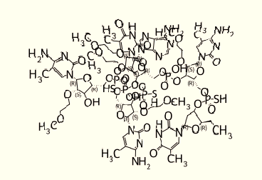 CC[C@H]1O[C@@H](n2cc(C)c(=O)[nH]c2=O)CC1OP(=O)(S)OC[C@H]1O[C@@H](n2cc(C)c(N)nc2=O)[C@@H](OCCOC)C1OP(=O)(O)OC[C@H]1O[C@@H](n2cc(C)c(=O)[nH]c2=O)[C@@H](OCCOC)C1OP(=O)(O)OC[C@H]1O[C@@H](n2cc(C)c(N)nc2=O)[C@@H](OCCOC)C1OP(=O)(S)OC[C@H]1O[C@@H](n2cnc3c(N)ncnc32)[C@@H](OCCOC)C1OP(=O)(S)OC[C@H]1O[C@@H](n2cc(C)c(N)nc2=O)[C@@H](OCCOC)C1O